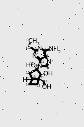 CSc1nc(N)c2ncn([C@@]3(O)C[C@H]4CC[C@@]4(CO)[C@H]3O)c2n1